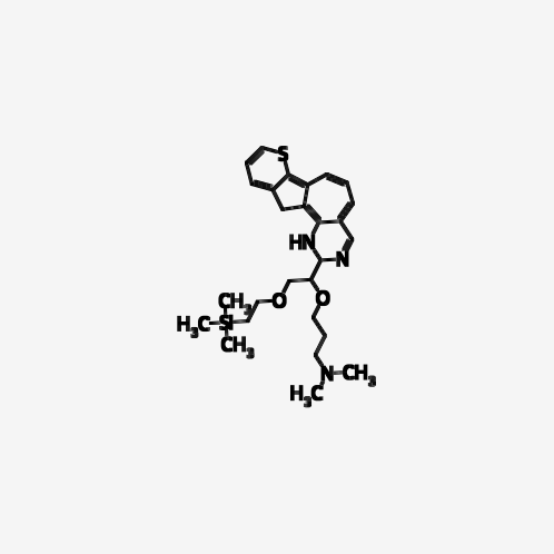 CN(C)CCCOC(COCC[Si](C)(C)C)C1N=CC2=CC=CC3=C4SC=CC=C4CC3=C2N1